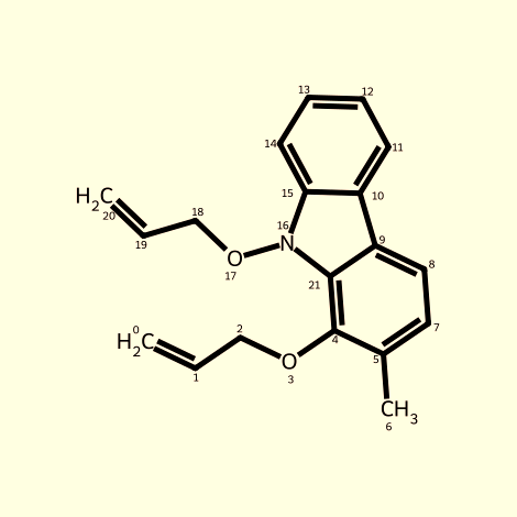 C=CCOc1c(C)ccc2c3ccccc3n(OCC=C)c12